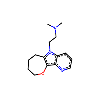 CN(C)CCn1c2c(c3ncccc31)OCCCC2